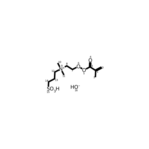 C=C(C)C(=O)OOCC[N+](C)(C)CCCS(=O)(=O)O.[OH-]